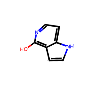 Oc1nccc2[nH]c[c]c12